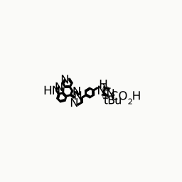 CC(C)(C)[C@]12C[C@@H](CN1C(=O)O)N(Cc1ccc(-c3ccnc4c(-c5cccc6[nH]ncc56)c(-c5ccncc5)nn34)cc1)C2